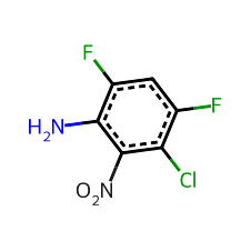 Nc1c(F)cc(F)c(Cl)c1[N+](=O)[O-]